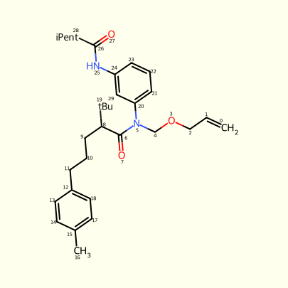 C=CCOCN(C(=O)C(CCCc1ccc(C)cc1)C(C)(C)C)c1cccc(NC(=O)C(C)CCC)c1